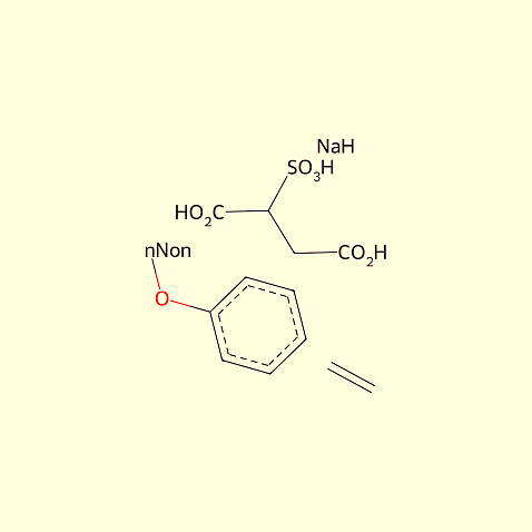 C=C.CCCCCCCCCOc1ccccc1.O=C(O)CC(C(=O)O)S(=O)(=O)O.[NaH]